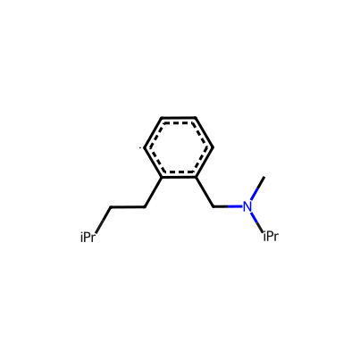 CC(C)CCc1[c]cccc1CN(C)C(C)C